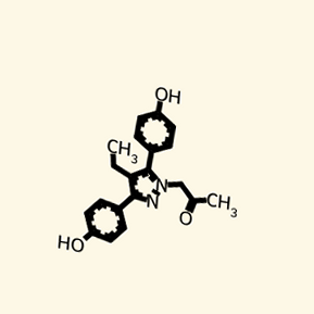 CCc1c(-c2ccc(O)cc2)nn(CC(C)=O)c1-c1ccc(O)cc1